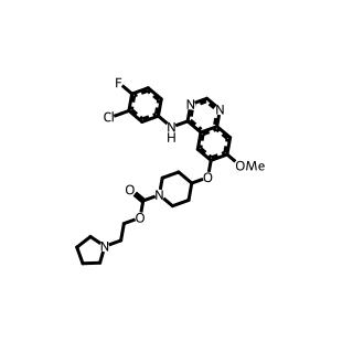 COc1cc2ncnc(Nc3ccc(F)c(Cl)c3)c2cc1OC1CCN(C(=O)OCCN2CCCC2)CC1